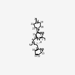 Cc1nc(CN(C)[C@H](C)c2ccccn2)cc(N2CCN(C)CC2)n1